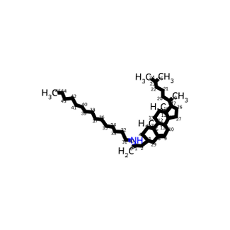 C=C(CC1CCC2(C)C(=CCC3C2CCC2(C)C(C(C)CCCC(C)C)CCC32)C1)NCCCCCCCCCCCCCCC